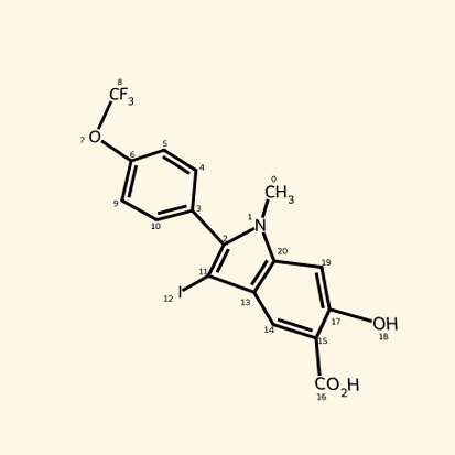 Cn1c(-c2ccc(OC(F)(F)F)cc2)c(I)c2cc(C(=O)O)c(O)cc21